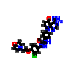 Nc1ncnc2c1c(=O)ccn2-c1ccc(NC(=O)Nc2ccc(OCCN3CCOCC3)c(Cl)c2)cc1